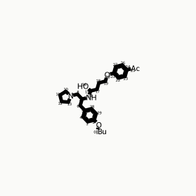 CCC(C)Oc1ccc(CC(CN2CCCC2)NC(O)CCCOc2ccc(C(C)=O)cc2)cc1